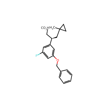 CC1(C[C@H](CC(=O)O)c2cc(F)cc(OCc3ccccc3)c2)CC1